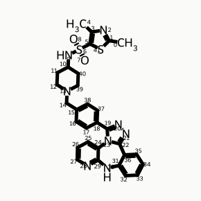 Cc1nc(C)c(S(=O)(=O)NC2CCN(Cc3ccc(-c4nnc5n4-c4cccnc4Nc4ccccc4-5)cc3)CC2)s1